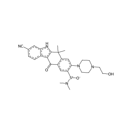 CN(C)[S+]([O-])c1cc2c(cc1N1CCN(CCO)CC1)C(C)(C)c1[nH]c3cc(C#N)ccc3c1C2=O